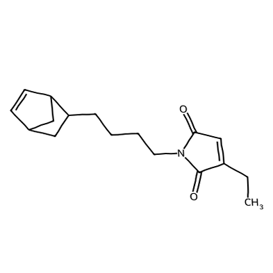 CCC1=CC(=O)N(CCCCC2CC3C=CC2C3)C1=O